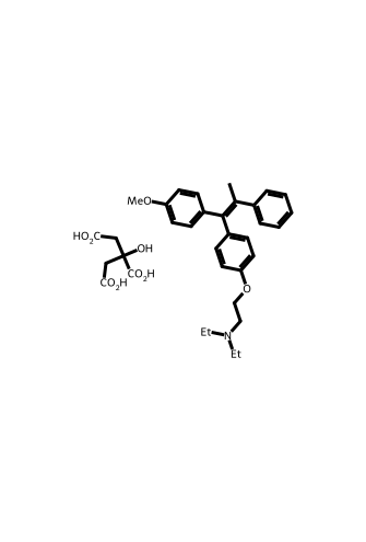 CCN(CC)CCOc1ccc(/C(=C(/C)c2ccccc2)c2ccc(OC)cc2)cc1.O=C(O)CC(O)(CC(=O)O)C(=O)O